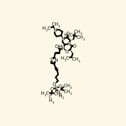 CC(C)C[C@H]1ON(C(=O)/C=C/c2nc(C#CCCCOP(=O)(OC(C)(C)C)OC(C)(C)C)cs2)[C@H]2CN(C3CCN(C(C)C)CC3)C(=O)[C@H](CC(C)(C)C)N2C1=O